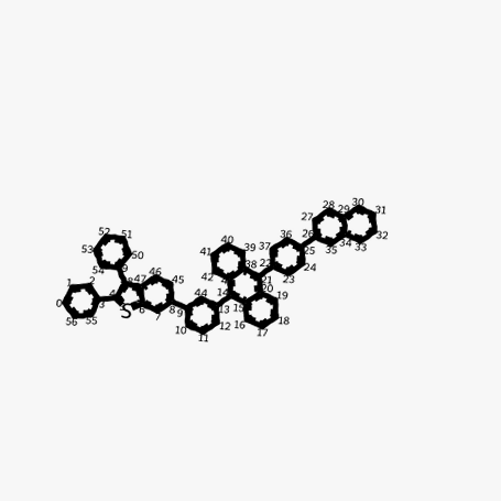 c1ccc(-c2sc3cc(-c4cccc(-c5c6ccccc6c(-c6ccc(-c7ccc8ccccc8c7)cc6)c6ccccc56)c4)ccc3c2-c2ccccc2)cc1